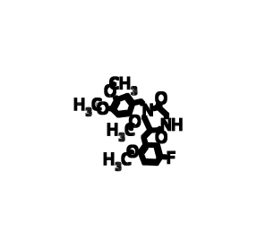 COc1ccc(F)cc1CC1CN(Cc2cc(OC)c(OC)cc2OC)C(=O)CNC1=O